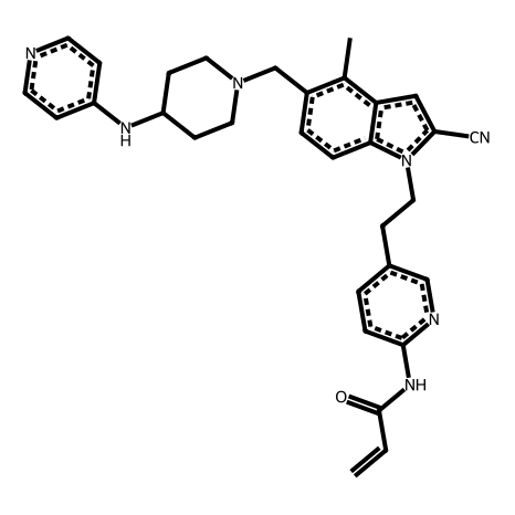 C=CC(=O)Nc1ccc(CCn2c(C#N)cc3c(C)c(CN4CCC(Nc5ccncc5)CC4)ccc32)cn1